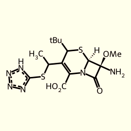 CO[C@@]1(N)C(=O)N2C(C(=O)O)=C(C(C)Sc3nnn[nH]3)C(C(C)(C)C)S[C@H]21